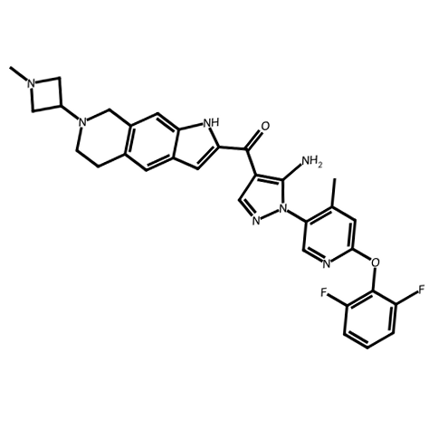 Cc1cc(Oc2c(F)cccc2F)ncc1-n1ncc(C(=O)c2cc3cc4c(cc3[nH]2)CN(C2CN(C)C2)CC4)c1N